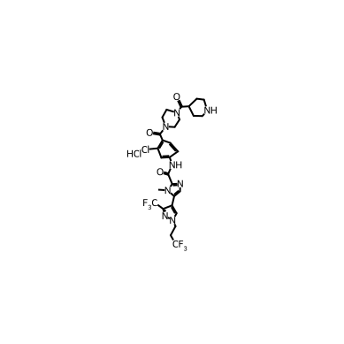 Cl.Cn1c(-c2cn(CCC(F)(F)F)nc2C(F)(F)F)cnc1C(=O)Nc1ccc(C(=O)N2CCN(C(=O)C3CCNCC3)CC2)c(Cl)c1